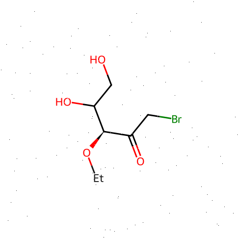 CCO[C@H](C(=O)CBr)C(O)CO